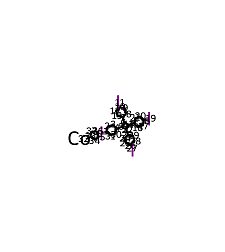 Ic1ccc(C2=C(c3ccc(I)cc3)C(c3ccc(I)cc3)=C2c2ccc(I)cc2)cc1.[Co][C]1=CC=CC1